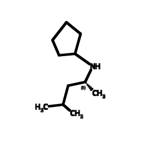 CC(C)C[C@@H](C)NC1CCCC1